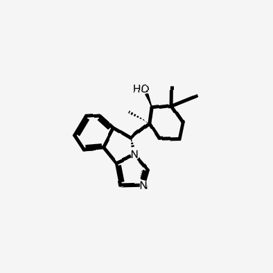 CC1(C)CCC[C@@](C)([C@H]2c3ccccc3-c3cncn32)[C@H]1O